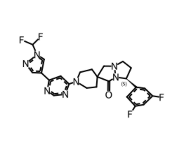 O=C1N2[C@H](c3cc(F)cc(F)c3)CCN2CC12CCN(c1cc(-c3cnn(C(F)F)c3)ncn1)CC2